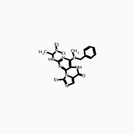 CCc1ncc2c(=O)[nH]c3c(N(C)Cc4ccccc4)nc(NC(C)N(CC)CC)nc3n12